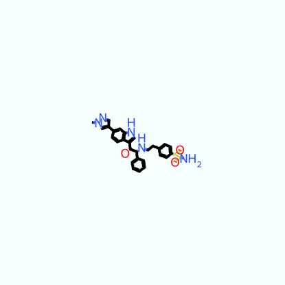 Cn1cc(-c2ccc3c(C(=O)C(NCCc4ccc(S(N)(=O)=O)cc4)c4ccccc4)c[nH]c3c2)cn1